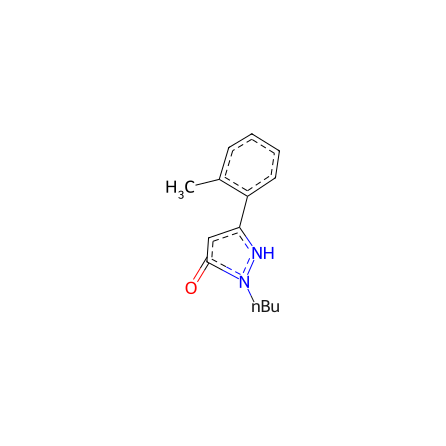 CCCCn1[nH]c(-c2ccccc2C)cc1=O